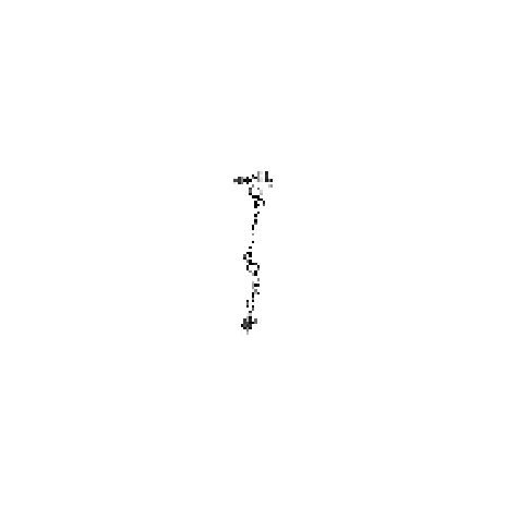 [N-]=[N+]=NCCOCCOCCc1ccc(OCCCCCCCCCCOc2ccc(C(=N)N)cc2)cc1